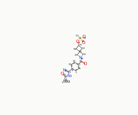 CC(C)(C)c1nc(-c2ccc(C(=O)N3CC4(CC(OS(C)(=O)=O)C4)C3)cc2)no1